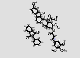 COC(=O)[C@H]1[C@H]2C[C@@H]3c4[nH]c5cc(OC)ccc5c4CCN3C[C@H]2C[C@@H](OC(=O)/C=C/c2cc(OC)c(OC)c(OC)c2)[C@@H]1OC.O=C1c2ccccc2C(=O)C1c1ccccc1